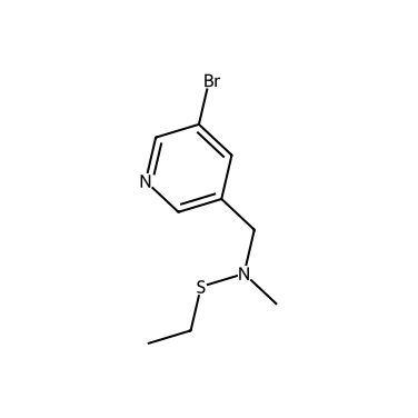 CCSN(C)Cc1cncc(Br)c1